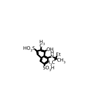 CCC(C)(C)Nc1cc(S(=O)(=O)O)cc2cc(S(=O)(=O)O)c(C)c(O)c12